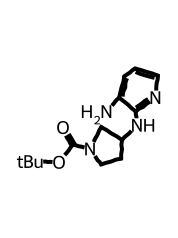 CC(C)(C)OC(=O)N1CCC(Nc2ncccc2N)C1